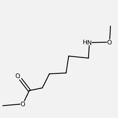 CONCCCCCC(=O)OC